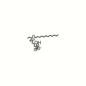 CCCCCCCCCCCCOC(CC)[N+](C)(C)CC(O)CS(=O)(=O)[O-]